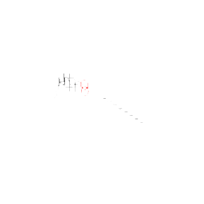 CC/C=C/C/C=C/C/C=C/C/C=C/C/C=C/CCCCCC(=O)O[C@H]1CC[C@@]2(C)C(=CC[C@H]3[C@@H]4CC[C@H]([C@H](C)CCCC(C)C)[C@@]4(C)CC[C@@H]32)C1